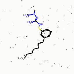 CN(N)/N=C(\N)NSc1cccc(CCCCCCC(=O)O)c1